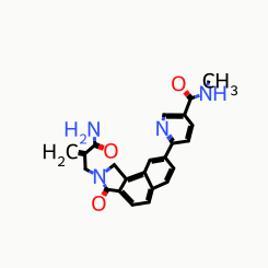 C=C(CN1Cc2c(ccc3ccc(-c4ccc(C(=O)NC)cn4)cc23)C1=O)C(N)=O